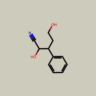 N#CC(O)C(CCO)c1ccccc1